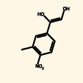 Cc1cc(C(O)=CO)ccc1[N+](=O)[O-]